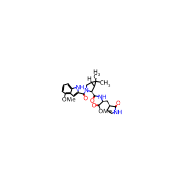 COC(=O)[C@H](C[C@@H]1CCNC1=O)NC(=O)[C@@H]1C2[C@H](CN1C(=O)c1cc3c(OC)cccc3[nH]1)C2(C)C